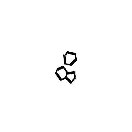 c1ccc2nocc2c1.c1ccncc1